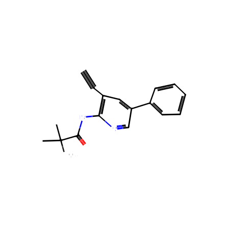 C#Cc1cc(-c2ccccc2)cnc1NC(=O)C(C)(C)OC